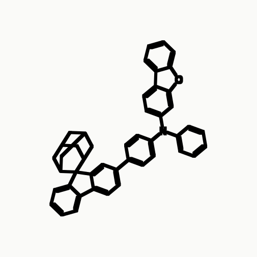 c1ccc(N(c2ccc(-c3ccc4c(c3)C3(c5ccccc5-4)C4CC5CC(C4)CC3C5)cc2)c2ccc3c(c2)oc2ccccc23)cc1